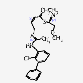 C=C(/C=C\C/N=C(\C)Nc1cccc(-c2ccccc2)c1Cl)S/C(COC)=N\C